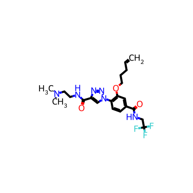 C=CCCCOc1cc(C(=O)NCC(F)(F)F)ccc1-n1cc(C(=O)NCCN(C)C)nn1